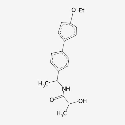 CCOc1ccc(-c2ccc(C(C)NC(=O)C(C)O)cc2)cc1